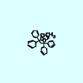 CCOC(CC(OC)(c1ccccc1)c1ccccc1)(c1ccccc1)c1ccccc1